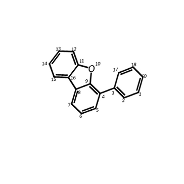 [c]1ccc(-c2cccc3c2oc2ccccc23)cc1